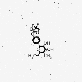 CC[C@H]1O[C@H](c2ccc(OS(=O)(=O)C(F)(F)F)cc2)[C@@H](O)[C@@H](O)[C@@H]1C